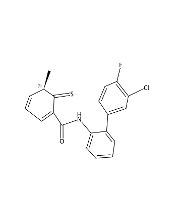 C[C@@H]1C=CC=C(C(=O)Nc2ccccc2-c2ccc(F)c(Cl)c2)C1=S